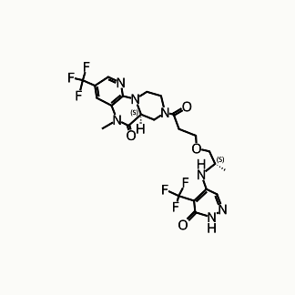 C[C@@H](COCCC(=O)N1CCN2c3ncc(C(F)(F)F)cc3N(C)C(=O)[C@@H]2C1)Nc1cn[nH]c(=O)c1C(F)(F)F